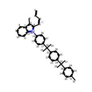 C=C/C=C\c1c(C)c2ccccc2n1-c1ccc(C(C)(C)c2ccc(C(C)(C)c3ccc(C)cc3)cc2)cc1